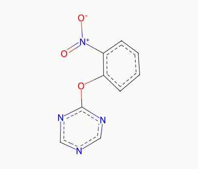 O=[N+]([O-])c1ccccc1Oc1ncncn1